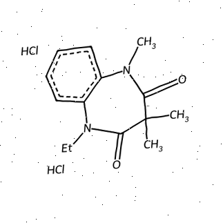 CCN1C(=O)C(C)(C)C(=O)N(C)c2ccccc21.Cl.Cl